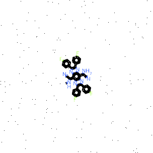 CNC(C#N)=c1c2nc(-c3ccc(F)cc3)c(-c3ccc(F)cc3)nc2c(=C(N)C#N)c2nc(-c3ccc(F)cc3)c(-c3ccc(F)cc3)nc12